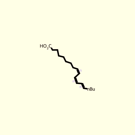 CCCC/C=C/C=C\C=C/CCCCCCCC(=O)O